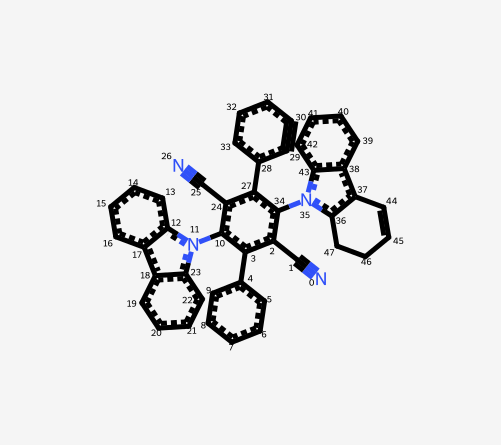 N#Cc1c(-c2ccccc2)c(-n2c3ccccc3c3ccccc32)c(C#N)c(-c2c#cccc2)c1-n1c2c(c3ccccc31)C=CCC2